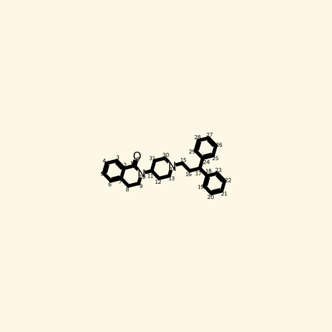 O=C1c2ccccc2CCN1C1CCN(CCC(c2ccccc2)c2ccccc2)CC1